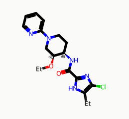 CCO[C@H]1CN(c2ccccn2)CC[C@H]1NC(=O)c1nc(Cl)c(CC)[nH]1